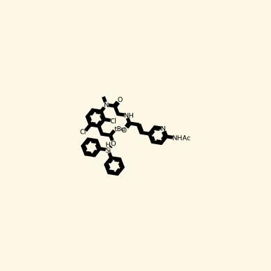 CC(=O)Nc1ccc(C=CC(=O)NCC(=O)N(C)c2ccc(Cl)c(CC(O[SiH](c3ccccc3)c3ccccc3)C(C)(C)C)c2Cl)cn1